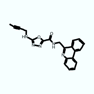 CC#CCNc1nnc(C(=O)NCc2nc3ccccc3c3ccccc23)o1